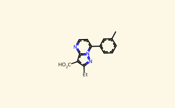 CCc1nn2c(-c3cccc(C)c3)ccnc2c1C(=O)O